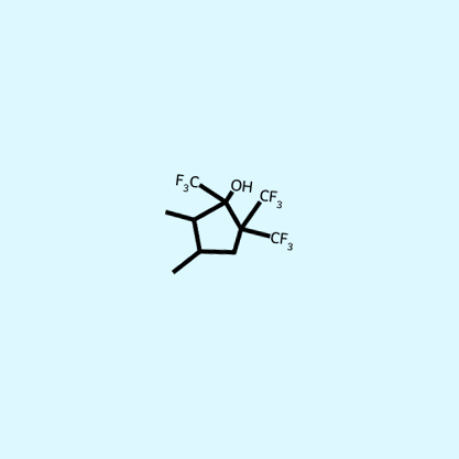 CC1CC(C(F)(F)F)(C(F)(F)F)C(O)(C(F)(F)F)C1C